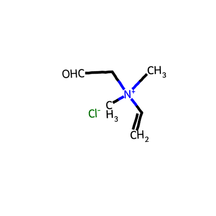 C=C[N+](C)(C)CC=O.[Cl-]